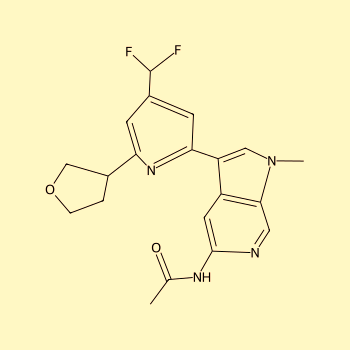 CC(=O)Nc1cc2c(-c3cc(C(F)F)cc(C4CCOC4)n3)cn(C)c2cn1